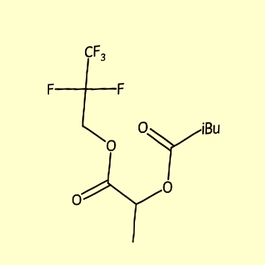 CCC(C)C(=O)OC(C)C(=O)OCC(F)(F)C(F)(F)F